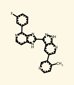 Cc1ccncc1-c1cnc2[nH]nc(-c3nc4c(-c5cccc(F)c5)nccc4[nH]3)c2c1